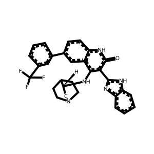 O=c1[nH]c2ccc(-c3cccc(C(F)(F)F)c3)cc2c(N[C@@H]2CN3CCC2CC3)c1-c1nc2ccccc2[nH]1